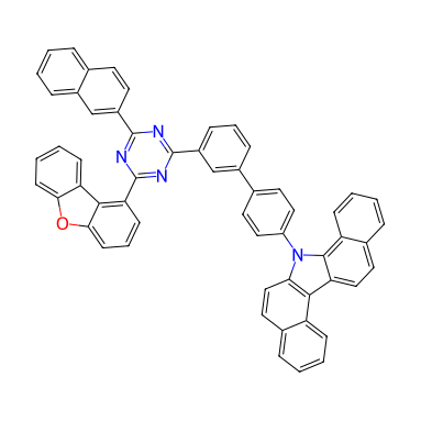 c1cc(-c2ccc(-n3c4ccc5ccccc5c4c4ccc5ccccc5c43)cc2)cc(-c2nc(-c3ccc4ccccc4c3)nc(-c3cccc4oc5ccccc5c34)n2)c1